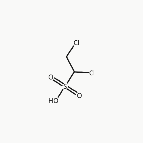 O=S(=O)(O)C(Cl)CCl